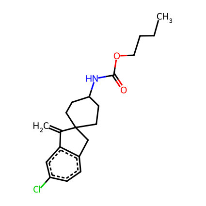 C=C1c2cc(Cl)ccc2CC12CCC(NC(=O)OCCCC)CC2